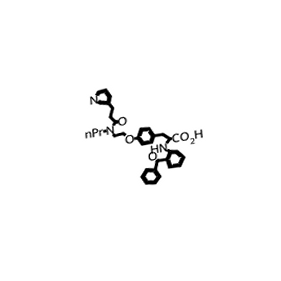 CCCN(CCOc1ccc(CC(Nc2ccccc2C(=O)c2ccccc2)C(=O)O)cc1)C(=O)CCc1cccnc1